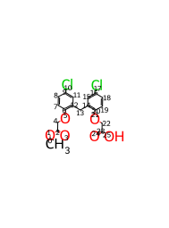 COC(=O)COc1ccc(Cl)cc1Cc1cc(Cl)ccc1OCC(=O)O